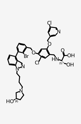 O=C(O)[C@H](CO)NCc1cc(Cl)c(OCc2cccc(-c3cccc4c3cnn4CCCCN3CC[C@@H](O)C3)c2Br)cc1OCc1cncc(Cl)c1